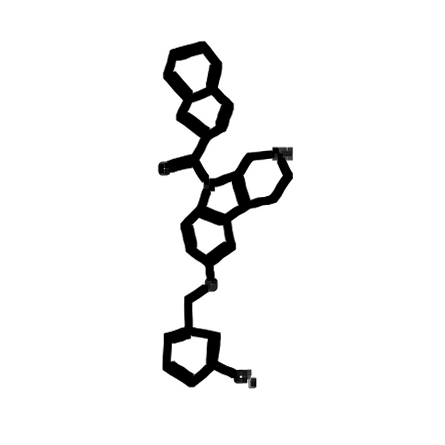 O=C(c1ccc2ccccc2c1)n1c2c(c3cc(OCc4cccc(C(F)(F)F)c4)ccc31)CCNC2